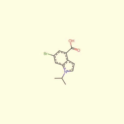 CC(C)n1ccc2c(C(=O)O)cc(Br)cc21